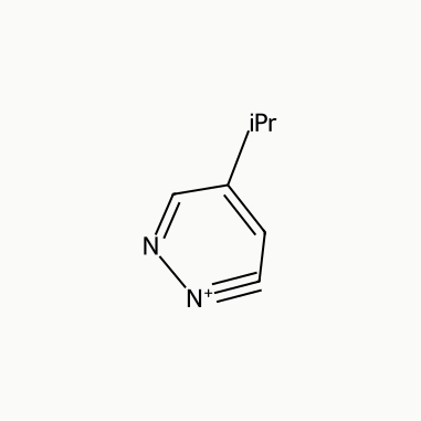 CC(C)c1cc#[n+]nc1